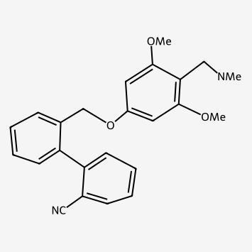 CNCc1c(OC)cc(OCc2ccccc2-c2ccccc2C#N)cc1OC